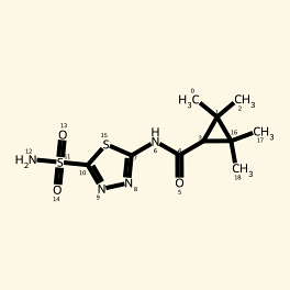 CC1(C)C(C(=O)Nc2nnc(S(N)(=O)=O)s2)C1(C)C